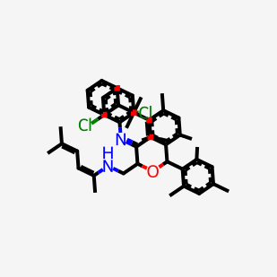 CC(C)=C/C=C(/C)NCC(OC(c1c(C)cc(C)cc1C)c1c(C)cc(C)cc1C)C(=N/c1c(Cl)cccc1Cl)/C(C)=C\C(C)(C)c1ccccc1